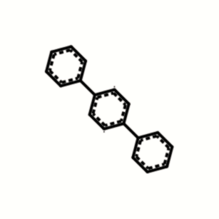 [c]1cc(-c2ccccc2)[c]cc1-c1ccccc1